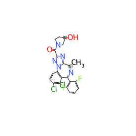 C[C@@H]1N=C(c2c(F)cccc2F)c2c(ccc(Cl)c2Cl)-n2nc(C(=O)N3CC[C@@H](O)C3)nc21